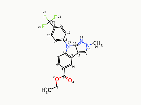 CCOC(=O)c1ccc2c(c1)c1cn(C)nc1n2-c1ccc(C(F)(F)F)cc1